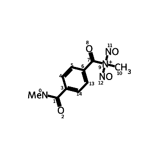 CNC(=O)c1ccc(C(=O)[N+](C)(N=O)N=O)cc1